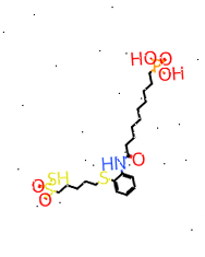 O=C(CCCCCCCCCP(=O)(O)O)Nc1ccccc1SCCCCCS(=O)(=O)S